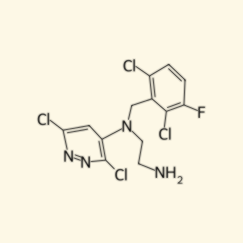 NCCN(Cc1c(Cl)ccc(F)c1Cl)c1cc(Cl)nnc1Cl